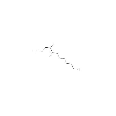 CC(CCN)C(C)CCCCCCN